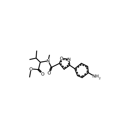 COC(=O)C(C(C)C)N(C)C(=O)c1cc(-c2ccc(N)cc2)no1